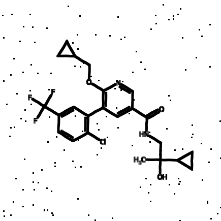 CC(O)(CNC(=O)c1cnc(OCC2CC2)c(-c2cc(C(F)(F)F)ccc2Cl)c1)C1CC1